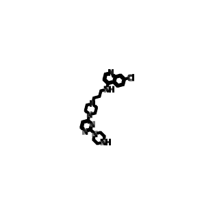 Clc1ccc2c(NCCCN3CCN(c4ccnc(N5CCNCC5)n4)CC3)ccnc2c1